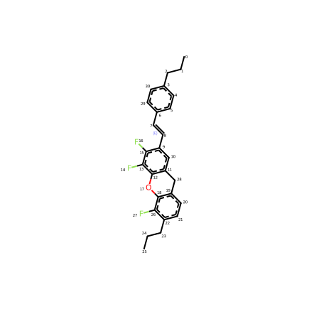 CCCc1ccc(/C=C/c2cc3c(c(F)c2F)Oc2c(ccc(CCC)c2F)C3)cc1